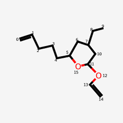 C=CCCCC1CC(CC)CC(OC=C)O1